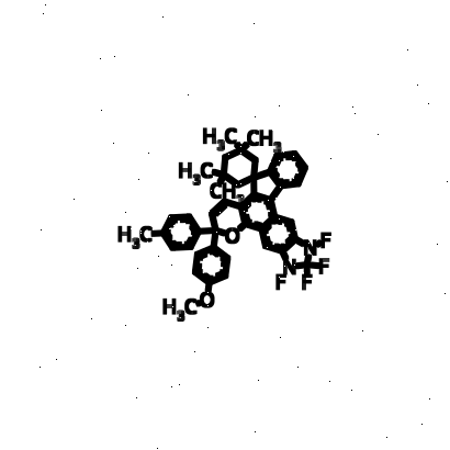 COc1ccc(C2(c3ccc(C)cc3)C=Cc3c4c(c5cc6c(cc5c3O2)N(F)C(F)(F)N6F)-c2ccccc2C42CC(C)(C)CC(C)(C)C2)cc1